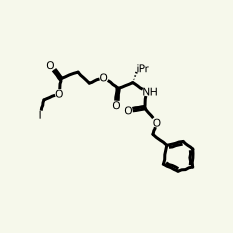 CC(C)[C@H](NC(=O)OCc1ccccc1)C(=O)OCCC(=O)OCI